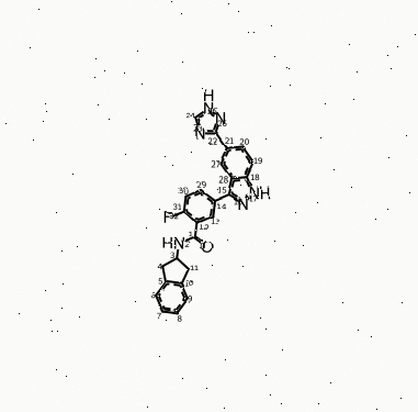 O=C(NC1Cc2ccccc2C1)c1cc(-c2n[nH]c3ccc(-c4nc[nH]n4)cc23)ccc1F